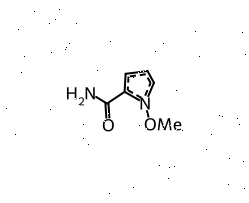 COn1cccc1C(N)=O